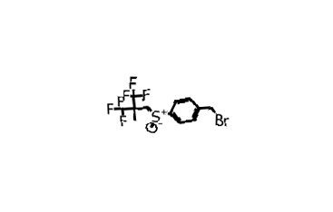 CC(C[S+]([O-])c1ccc(CBr)cc1)(C(F)(F)F)C(F)(F)F